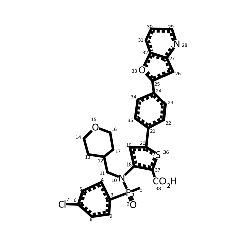 CP(=O)(c1ccc(Cl)cc1)N(CC1CCOCC1)c1cc(-c2ccc(-c3cc4ncccc4o3)cc2)sc1C(=O)O